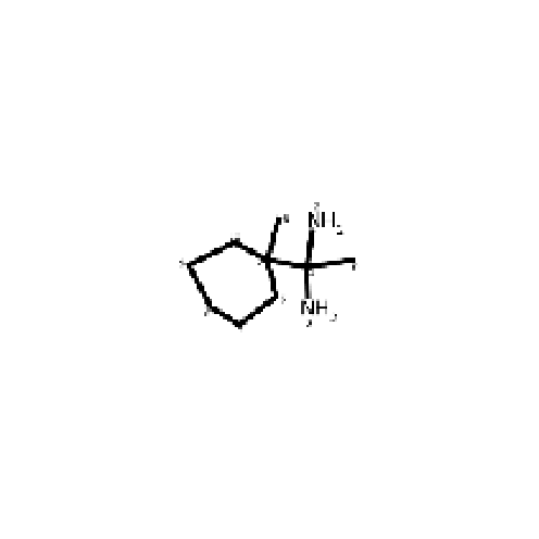 CC(N)(N)C1(C)CCCCC1